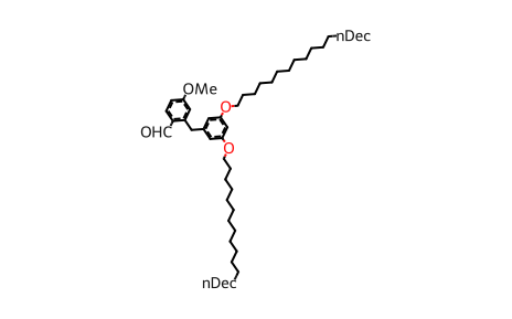 CCCCCCCCCCCCCCCCCCCCCCOc1cc(Cc2cc(OC)ccc2C=O)cc(OCCCCCCCCCCCCCCCCCCCCCC)c1